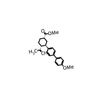 C=C(C)[C@@H]1CC[C@H](C(=O)OC)C[C@H]1c1ccc(-c2ccc(OC)cc2)cc1